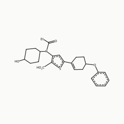 CCC(=O)N(c1cc(C2=CCC(Oc3ccccc3)CC2)sc1C(=O)O)C1CCC(O)CC1